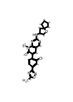 CCn1c(=O)c(-c2ccc(-c3noc(C)n3)cc2Cl)cc2cnc(NC3COC4(CCCC4)C3)nc21